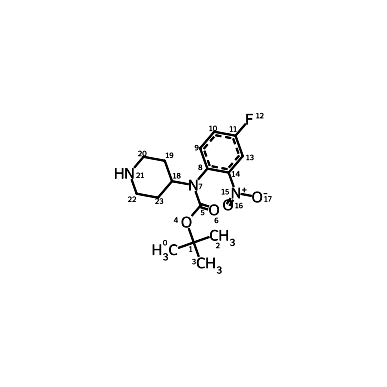 CC(C)(C)OC(=O)N(c1ccc(F)cc1[N+](=O)[O-])C1CCNCC1